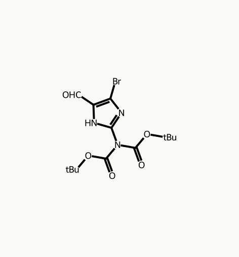 CC(C)(C)OC(=O)N(C(=O)OC(C)(C)C)c1nc(Br)c(C=O)[nH]1